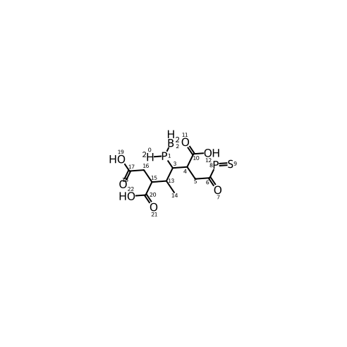 [2H]P(B)C(C(CC(=O)P=S)C(=O)O)C(C)C(CC(=O)O)C(=O)O